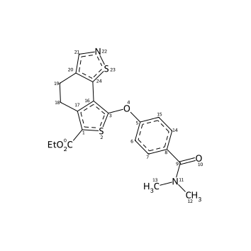 CCOC(=O)c1sc(Oc2ccc(C(=O)N(C)C)cc2)c2c1CCc1cnsc1-2